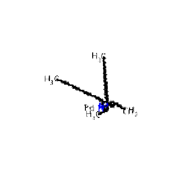 CCCCCCCCCCCCCCCCCCCCC=CC(C(=C=[N+]=[N-])CCCCCCCCCCCCCCCCCCCCCCCCC)=C(c1ccc(CCCC)cc1)c1ccc(CCCCCC)cc1.[Pd]